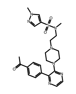 CC(=O)c1ccc(-c2nccnc2N2CCN(CCN(C)S(=O)(=O)c3cnn(C)c3)CC2)cc1